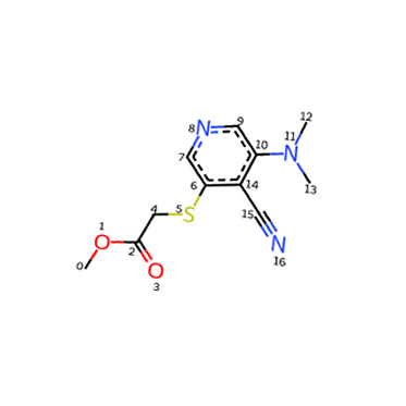 COC(=O)CSc1cncc(N(C)C)c1C#N